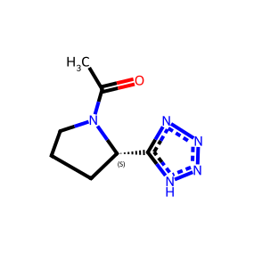 CC(=O)N1CCC[C@H]1c1nnn[nH]1